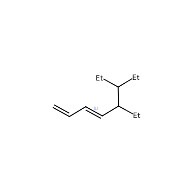 C=C/C=C/C(CC)C(CC)CC